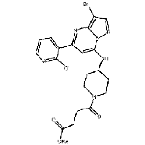 COC(=O)CCC(=O)N1CCC(Nc2cc(-c3ccccc3Cl)nc3c(Br)cnn23)CC1